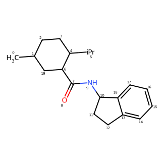 CC1CCC(C(C)C)C(C(=O)NC2CCc3ccccc32)C1